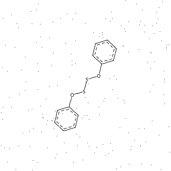 c1ccc(OSSOc2ccccc2)cc1